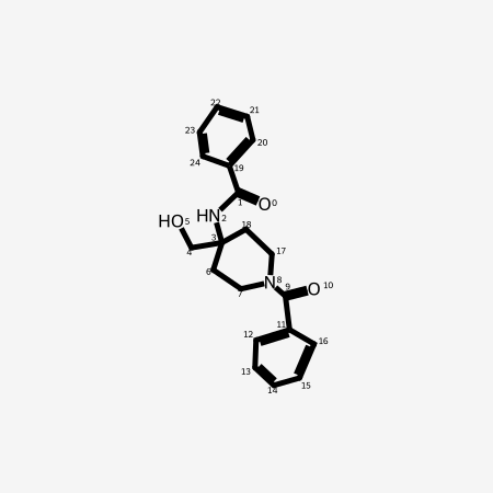 O=C(NC1(CO)CCN(C(=O)c2ccccc2)CC1)c1ccccc1